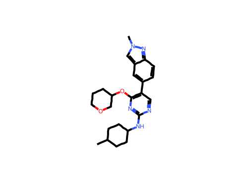 CC1CCC(Nc2ncc(-c3ccc4nn(C)cc4c3)c(OC3CCCOC3)n2)CC1